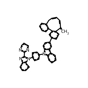 C=C1/C=C\C=C/Cc2ccccc2-c2cc(-c3ccc4c(c3)c3ccccc3n4-c3ccc(-n4c(-c5ncccn5)nc5ccccc54)cc3)ccc21